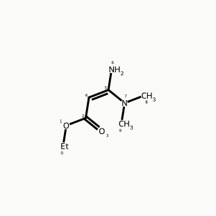 CCOC(=O)C=C(N)N(C)C